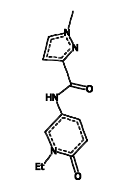 CCn1cc(NC(=O)c2ccn(C)n2)ccc1=O